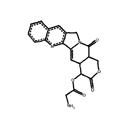 NCC(=O)OC1C(=O)OCC2C(=O)N3Cc4cc5ccccc5nc4C3=CC21